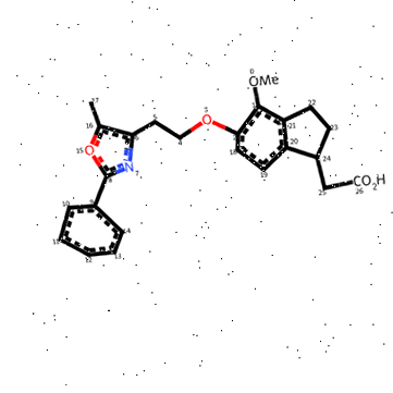 COc1c(OCCc2nc(-c3ccccc3)oc2C)ccc2c1CCC2CC(=O)O